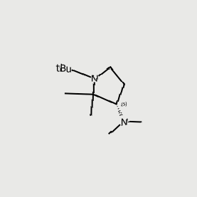 CN(C)[C@H]1CCN(C(C)(C)C)C1(C)C